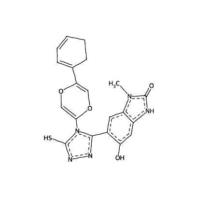 Cn1c(=O)[nH]c2cc(O)c(-c3nnc(S)n3C3=COC(C4=CC=CCC4)=CO3)cc21